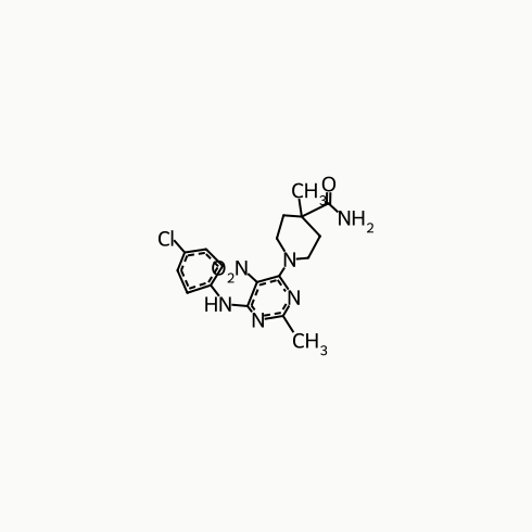 Cc1nc(Nc2ccc(Cl)cc2)c([N+](=O)[O-])c(N2CCC(C)(C(N)=O)CC2)n1